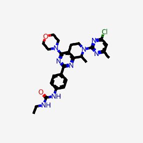 CCNC(=O)Nc1ccc(-c2nc3c(c(N4CCOCC4)n2)CCN(c2nc(C)cc(Cl)n2)C3C)cc1